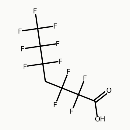 O=C(O)C(F)(F)C(F)(F)CC(F)(F)C(F)(F)C(F)(F)F